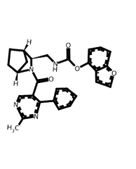 Cc1ncc(C(=O)N2[C@@H]3CC[C@@H](C3)[C@H]2CNC(=O)Oc2cccc3occc23)c(-c2ccccc2)n1